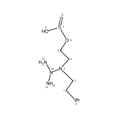 CC(C)CCN(CC[O][Ti](=[O])[OH])N(N)N